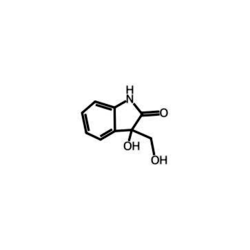 O=C1Nc2ccccc2C1(O)CO